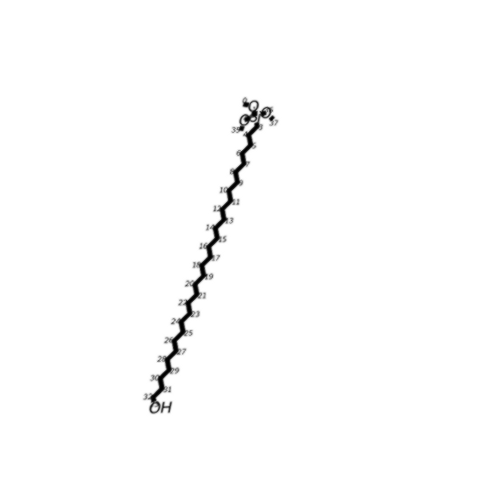 CO[Si](CCCCCCCCCCCCCCCCCCCCCCCCCCCCCCO)(OC)OC